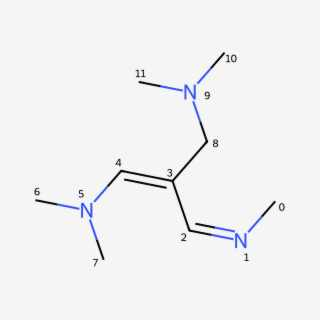 C/N=C\C(=C/N(C)C)CN(C)C